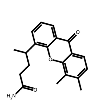 Cc1ccc2c(=O)c3cccc(C(C)CCC(N)=O)c3oc2c1C